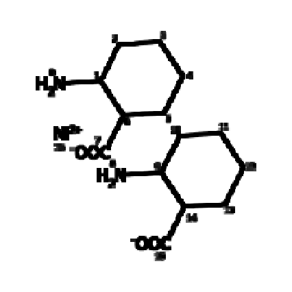 NC1CCCCC1C(=O)[O-].NC1CCCCC1C(=O)[O-].[Ni+2]